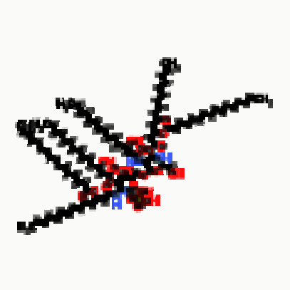 CCCCCCCCCCCCCCCC(=O)OC(CCCCCCCCCCC)CC(=O)NC1C(OC(=O)CC(O)CCCCCCCCCCC)[C@H](O)C(CO[C@@H]2OC(CO)NC(OC(=O)CC(CCCCCCCCCCC)OC(=O)CCCCCCCCCCCCCCC)C2NC(=O)CC(O)CCCCCCCCCCC)ON1OP(=O)(O)O